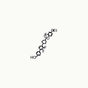 CCOc1ccc(OC(=O)C2CCC(c3ccc(-c4ccc(CO)cc4)c(F)c3F)CC2)c(F)c1